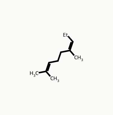 [CH2]CC=C(C)CCC=C(C)C